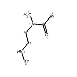 CC(C)NCCN(C)C(=O)C(C)C